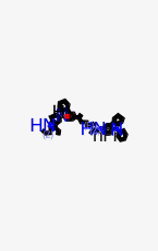 C=CC1c2cc(N3c4ccc(C(=C)CC/C=C(C)/C(C)=C(/CCC)NC5C=C6c7ccccc7N(C7=CCCC=C7)C6CC5)cc4C4C=CC=C[C@H]43)ccc2NC1/C=C\C